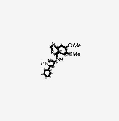 COc1cc2ncnc(Nc3cc(-c4ccccc4)[nH]n3)c2cc1OC